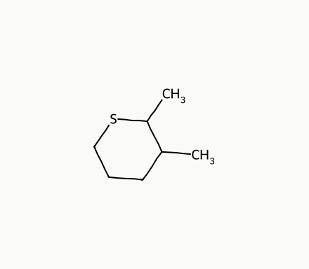 CC1CCCSC1C